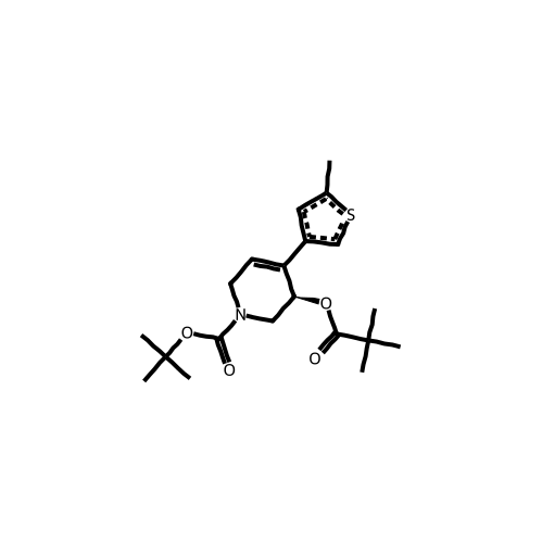 Cc1cc(C2=CCN(C(=O)OC(C)(C)C)C[C@@H]2OC(=O)C(C)(C)C)cs1